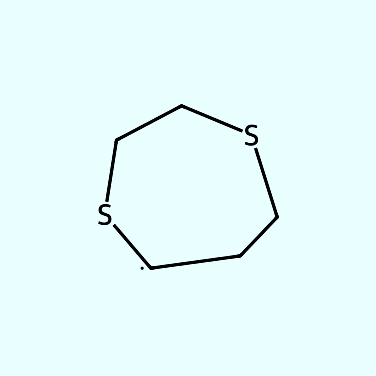 [CH]1CCSCCS1